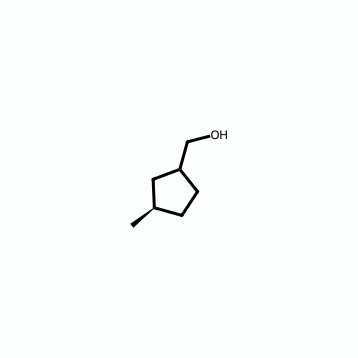 C[C@@H]1CCC(CO)C1